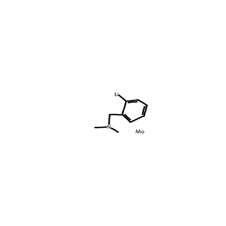 [Li][c]1ccccc1CN(C)C.[Mo]